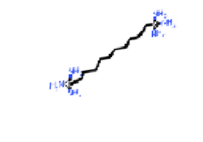 N[Si](N)(N)CCCCCCCCCC[Si](N)(N)N